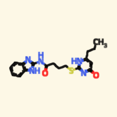 CCCc1cc(=O)nc(SCCCC(=O)Nc2nc3ccccc3[nH]2)[nH]1